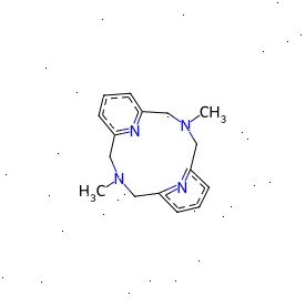 CN1Cc2cccc(n2)CN(C)Cc2cccc(n2)C1